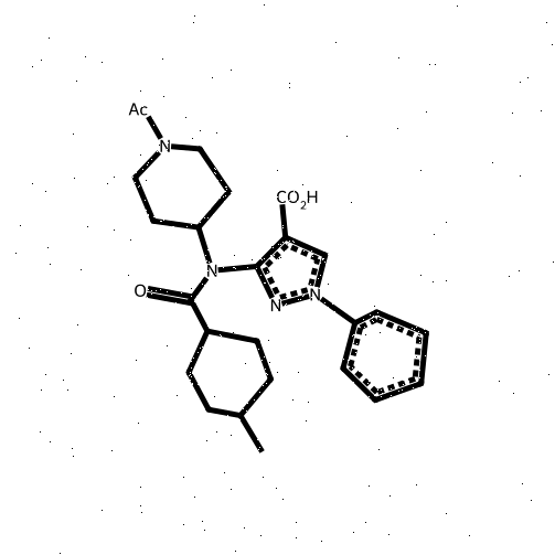 CC(=O)N1CCC(N(C(=O)C2CCC(C)CC2)c2nn(-c3ccccc3)cc2C(=O)O)CC1